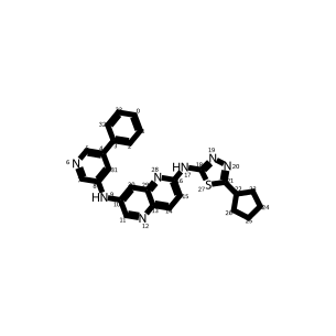 c1ccc(-c2cncc(Nc3cnc4ccc(Nc5nnc(C6CCCC6)s5)nc4c3)c2)cc1